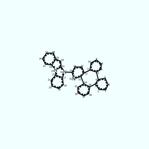 c1ccc2c(c1)-c1ccccc1-c1ccc(-n3c4ccccc4n4c5ccccc5cc34)nc1-c1ccccc1-2